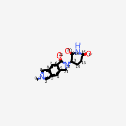 Cn1cc2cc3c(cc2c1)C(=O)N(C1CCC(=O)NC1=O)C3